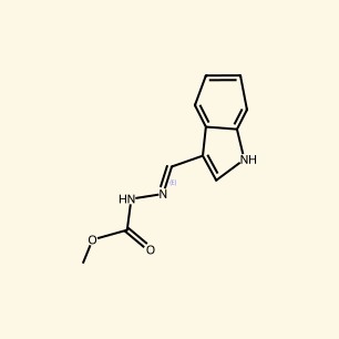 COC(=O)N/N=C/c1c[nH]c2ccccc12